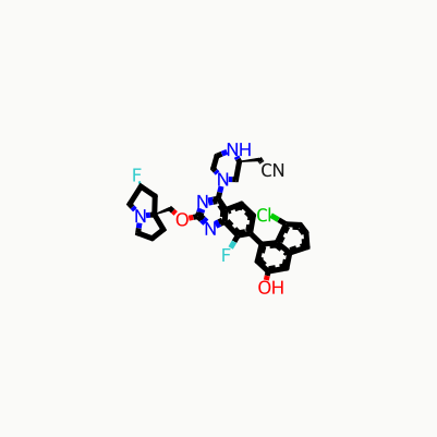 N#CC[C@H]1CN(c2nc(OC[C@@]34CCCN3C[C@H](F)C4)nc3c(F)c(-c4cc(O)cc5cccc(Cl)c45)ccc23)CCN1